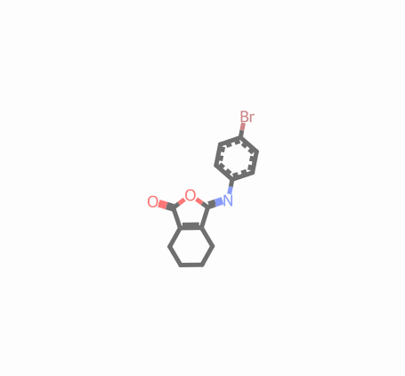 O=C1OC(=Nc2ccc(Br)cc2)C2=C1CCCC2